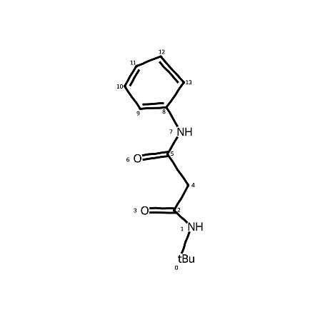 CC(C)(C)NC(=O)CC(=O)Nc1ccccc1